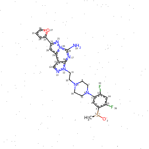 C[S@+]([O-])c1cc(N2CCN(CCn3ncc4c3nc(N)n3nc(-c5ccco5)cc43)CC2)c(F)cc1F